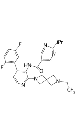 CC(C)c1ncc(C(=O)Nc2c(-c3cc(F)ccc3F)ccnc2N2CC3(CN(CC(F)(F)F)C3)C2)cn1